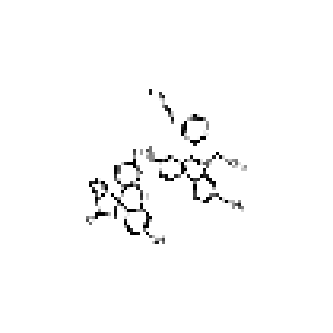 CC[n+]1c(-c2ccccc2)c2cc(N)ccc2c2ccc(N)cc21.N=C=S.O=C1OC2(c3ccc(O)cc3Oc3cc(O)ccc32)c2ccccc21